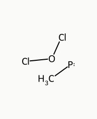 C[P].ClOCl